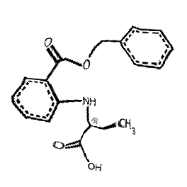 C[C@H](Nc1ccccc1C(=O)OCc1ccccc1)C(=O)O